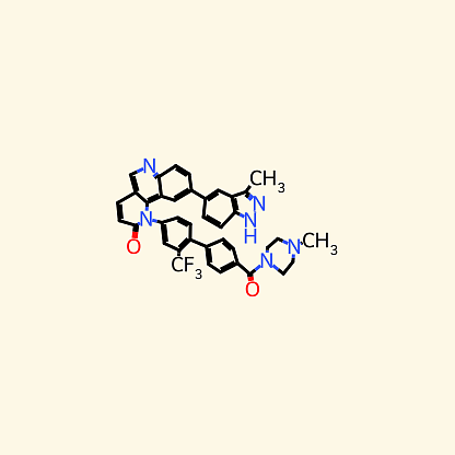 Cc1n[nH]c2ccc(-c3ccc4ncc5ccc(=O)n(-c6ccc(-c7ccc(C(=O)N8CCN(C)CC8)cc7)c(C(F)(F)F)c6)c5c4c3)cc12